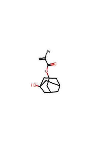 C=C(C(=O)OC12CC3CC(CC(O)(C3)C1)C2)C(C)C